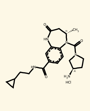 C[C@H]1CC(=O)Nc2cc(C(=O)NCCC3CC3)ccc2N1C(=O)N1CC[C@@H](N)C1.Cl